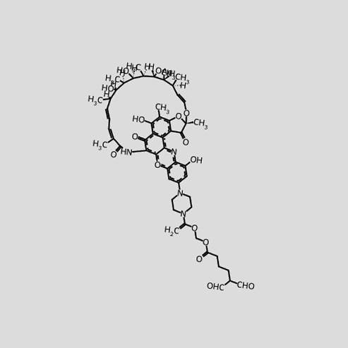 C=C(OCOC(=O)CCCC(C=O)C=O)N1CCN(c2cc(O)c3nc4c5c6c7c(C)c(O)c5c(=O)c(c-4oc3c2)NC(=O)/C(C)=C\C=C\[C@H](C)[C@H](O)[C@@H](C)[C@@H](O)[C@@H](C)[C@H](OC(C)=O)[C@H](C)[C@@H](C)/C=C/O[C@@](C)(O7)C6=O)CC1